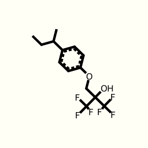 CCC(C)c1ccc(OCC(O)(C(F)(F)F)C(F)(F)F)cc1